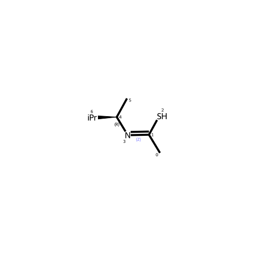 C/C(S)=N/[C@H](C)C(C)C